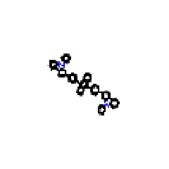 c1ccc(-n2c3ccccc3c3ccc(-c4ccc(-c5c6ccccc6c(-c6ccc(-c7ccc8c9ccccc9n(-c9ccccc9)c8c7)cc6)c6ccccc56)cc4)cc32)cc1